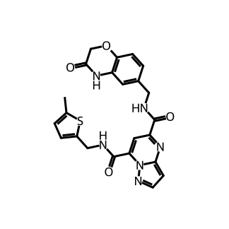 Cc1ccc(CNC(=O)c2cc(C(=O)NCc3ccc4c(c3)NC(=O)CO4)nc3ccnn23)s1